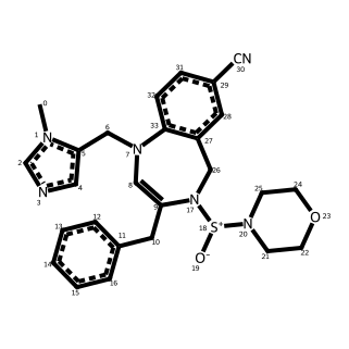 Cn1cncc1CN1C=C(Cc2ccccc2)N([S+]([O-])N2CCOCC2)Cc2cc(C#N)ccc21